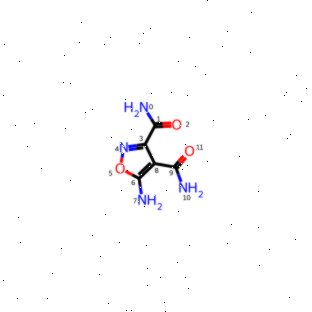 NC(=O)c1noc(N)c1C(N)=O